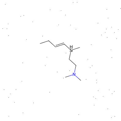 CCC=C[SiH](C)CCN(C)C